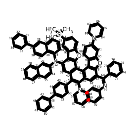 C[Si](C)(C)c1ccc2oc3c(c(N(c4ccc5ccccc5c4)c4cccc5cc(-c6ccccc6)ccc45)cc4c(-c5ccc(-c6ccccc6)cc5)c(N5C=CC=CC5)c5cc(/C(=N\c6ccccc6)c6ccccc6)c6oc7cc(N8C=CC=CC8)ccc7c6c5c43)c2c1